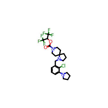 O=C(OC(C(F)(F)F)C(F)(F)F)N1CCC2(CCCN2Cc2cccc(N3CCCC3)c2Cl)CC1